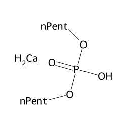 CCCCCOP(=O)(O)OCCCCC.[CaH2]